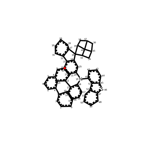 c1ccc(-c2cccc3cccc(-c4ccccc4N(c4ccc5c(c4)C4(c6ccccc6-5)C5CC6CC7CC4C675)c4cccc5sc6ccccc6c45)c23)cc1